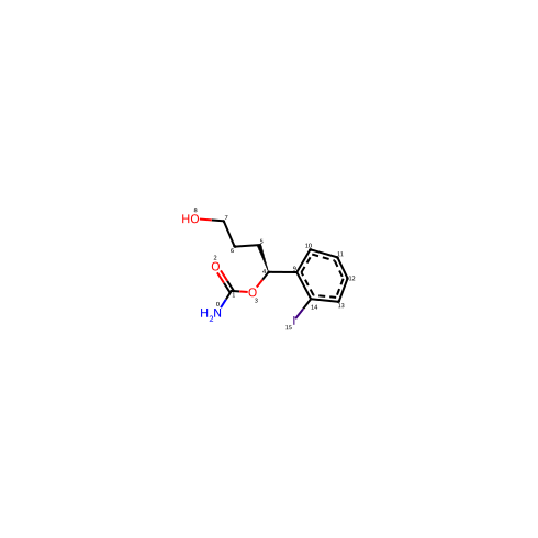 NC(=O)O[C@@H](CCCO)c1ccccc1I